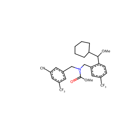 [C-]#[N+]c1cc(CN(Cc2cc(C(F)(F)F)ccc2C(OC)C2CCCCC2)C(=O)OC)cc(C(F)(F)F)c1